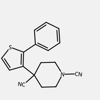 N#CN1CCC(C#N)(c2ccsc2-c2ccccc2)CC1